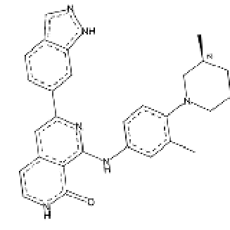 Cc1cc(Nc2nc(-c3ccc4cn[nH]c4c3)cc3cc[nH]c(=O)c23)ccc1N1CCC[C@H](C)C1